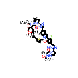 COC(=O)NC(C(=O)N1[C@@H]2C[C@@H]2C[C@H]1c1ncc(-c2ccc3c(c2)cc2n3C(c3ccc(C4CC4)s3)Oc3cc(-c4cnc([C@@H]5CCCN5C(=O)[C@@H](NC(=O)OC)C(C)C)[nH]4)cc(F)c3-2)[nH]1)C1CCOC(C)(C)C1